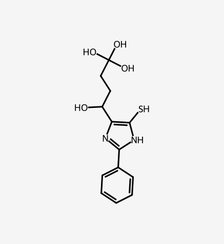 OC(CCC(O)(O)O)c1nc(-c2ccccc2)[nH]c1S